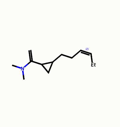 C=C(C1CC1CC/C=C\CC)N(C)C